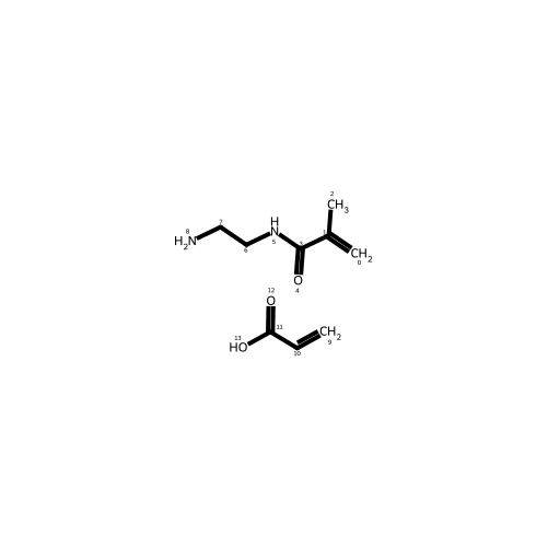 C=C(C)C(=O)NCCN.C=CC(=O)O